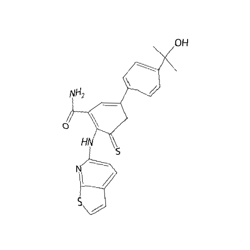 CC(C)(O)c1ccc(C2=CC(C(N)=O)=C(Nc3ccc4ccsc4n3)C(=S)C2)cc1